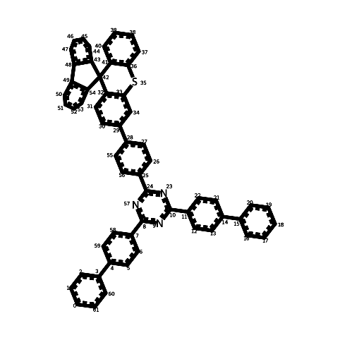 c1ccc(-c2ccc(-c3nc(-c4ccc(-c5ccccc5)cc4)nc(-c4ccc(-c5ccc6c(c5)Sc5ccccc5C65c6ccccc6-c6ccccc65)cc4)n3)cc2)cc1